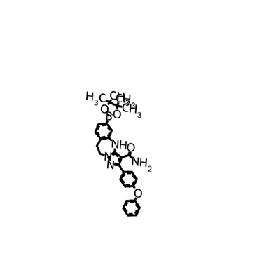 CC1(C)OB(c2ccc3c(c2)Nc2c(C(N)=O)c(-c4ccc(Oc5ccccc5)cc4)nn2CC3)OC1(C)C